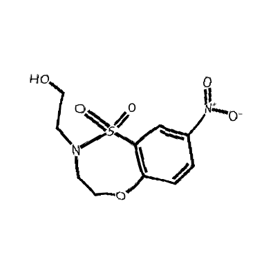 O=[N+]([O-])c1ccc2c(c1)S(=O)(=O)N(CCO)CCO2